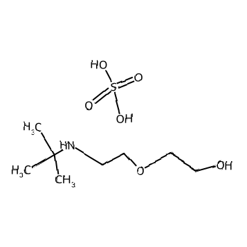 CC(C)(C)NCCOCCO.O=S(=O)(O)O